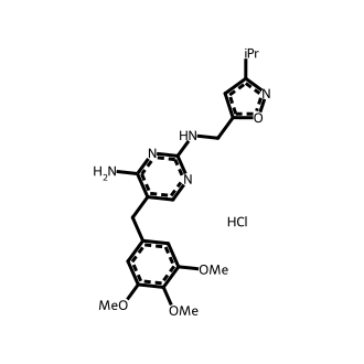 COc1cc(Cc2cnc(NCc3cc(C(C)C)no3)nc2N)cc(OC)c1OC.Cl